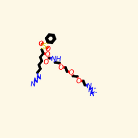 [N-]=[N+]=NCCCCCC(CS(=O)(=O)c1ccccc1)OC(=O)NCCOCCOCCOCCN=[N+]=[N-]